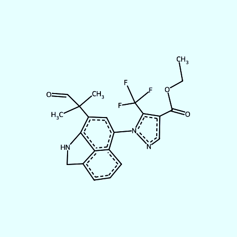 CCOC(=O)c1cnn(-c2cc(C(C)(C)C=O)c3c4c(cccc24)CN3)c1C(F)(F)F